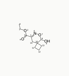 CCOC(=O)C1=NOC(O)C2(CCC2)C1